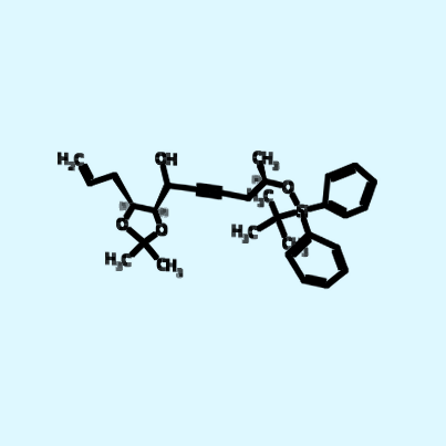 C=CC[C@@H]1OC(C)(C)O[C@@H]1C(O)C#CC[C@@H](C)O[Si](c1ccccc1)(c1ccccc1)C(C)(C)C